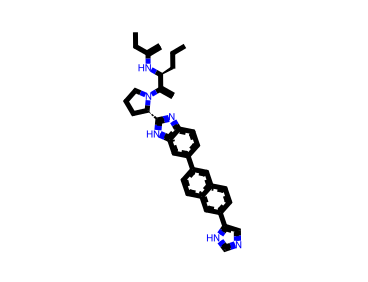 C=C(CC)N[C@@H](CCC)C(=C)N1CCC[C@H]1c1nc2ccc(-c3ccc4cc(-c5cnc[nH]5)ccc4c3)cc2[nH]1